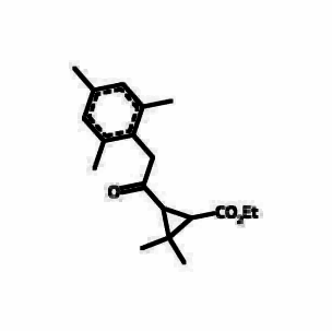 CCOC(=O)C1C(C(=O)Cc2c(C)cc(C)cc2C)C1(C)C